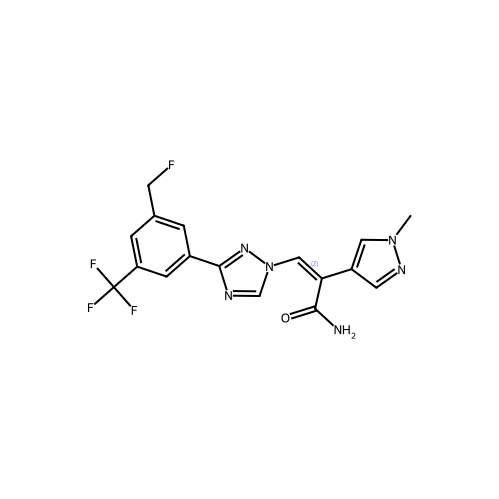 Cn1cc(/C(=C/n2cnc(-c3cc(CF)cc(C(F)(F)F)c3)n2)C(N)=O)cn1